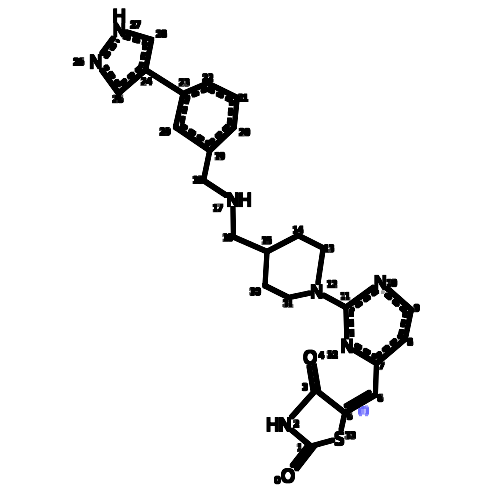 O=C1NC(=O)/C(=C\c2ccnc(N3CCC(CNCc4cccc(-c5cn[nH]c5)c4)CC3)n2)S1